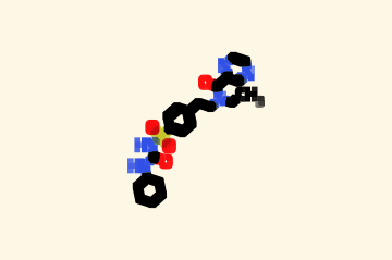 CCN(CCc1ccc(S(=O)(=O)NC(=O)NC2CCCCC2)cc1)C(=O)c1cnccn1